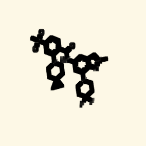 Cn1cc2cc(NC(=O)c3ccc(S(C)(=O)=O)cc3N3CCC4(CC3)CC4)cc(N3CCC(F)(F)CC3)c2n1